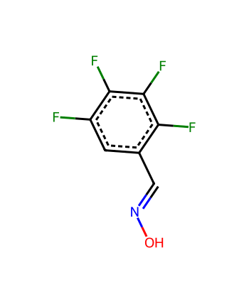 ON=Cc1cc(F)c(F)c(F)c1F